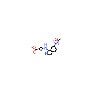 COC(=O)C1CC(Nc2nccc3ccc(-c4noc(C)n4)cc23)C1